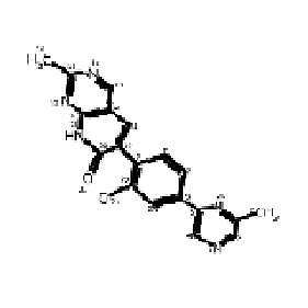 Cc1cncc(-c2ccc(-c3cc4cnc(C)nc4[nH]c3=O)c(Cl)c2)n1